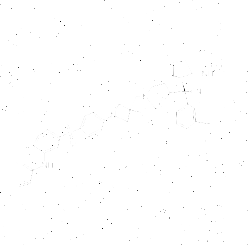 C=CC(=O)Nc1cccc(S(=O)(=O)c2ccc(N3CC(F)(CN4CCC(C(C#N)(c5cccc(F)c5)[C@H]5CCC[C@@H]5NC(=O)O)CC4)C3)cc2)c1